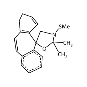 CSN1CC2(OC1(C)C)C1=C(C=Cc3ccccc32)CCC=C1